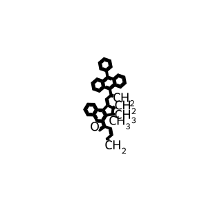 C=C/C=C\c1coc2c1c1c(c3ccccc32)/C(=C/C(=C)c2c3ccccc3c(-c3ccccc3)c3ccccc23)C(=C)C1(C)C